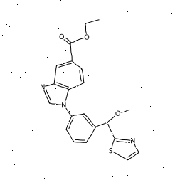 CCOC(=O)c1ccc2c(c1)ncn2-c1cccc(C(OC)c2nccs2)c1